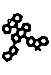 CC1(C)c2ccccc2-c2cc(-c3c4ccccc4c(N4c5ccccc5Oc5ccccc54)c4ccc(-c5ccc6ccccc6c5)cc34)ccc21